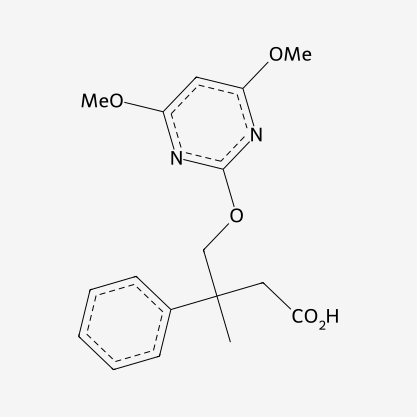 COc1cc(OC)nc(OCC(C)(CC(=O)O)c2ccccc2)n1